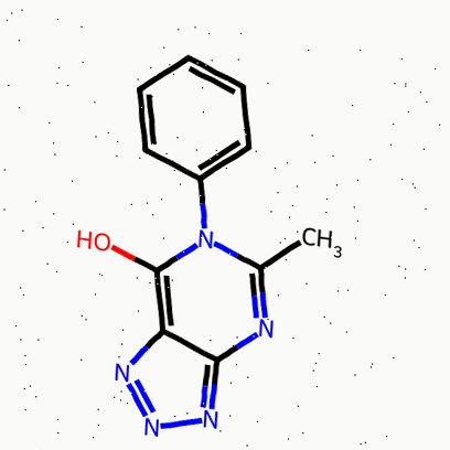 Cc1nc2nnnc-2c(O)n1-c1ccccc1